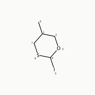 CC1COC(I)SC1